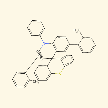 Cc1ccccc1-c1ccc2c(c1)C1(c3ccccc3Sc3ccccc31)c1cc(-c3ccccc3C)ccc1N2c1ccccc1